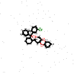 OC1(c2ccccc2-c2ccc3c(c2)Oc2ccccc2O3)c2ccccc2-c2ccc(Br)cc21